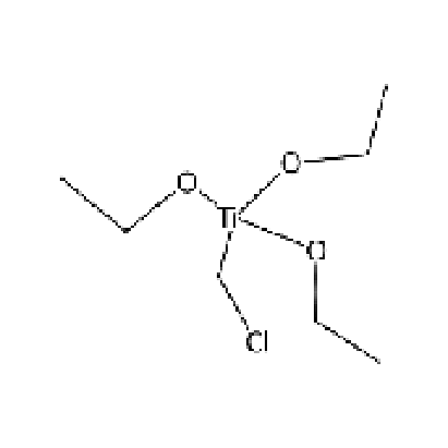 CC[O][Ti]([CH2]Cl)([O]CC)[O]CC